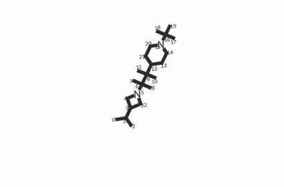 CC(C)C1CN(C(C)(C)C(C)(C)C2CCN(C(C)(C)C)CC2)C1